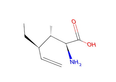 C=C[C@@H](CC)[C@H](C)[C@H](N)C(=O)O